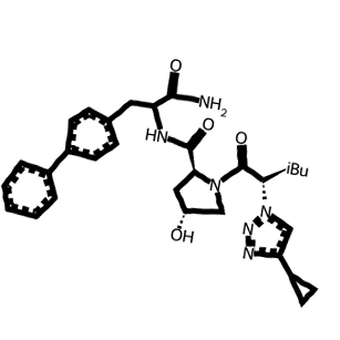 CC[C@H](C)[C@@H](C(=O)N1C[C@H](O)C[C@H]1C(=O)NC(Cc1ccc(-c2ccccc2)cc1)C(N)=O)n1cc(C2CC2)nn1